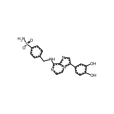 NS(=O)(=O)c1ccc(CNc2nccn3c(-c4ccc(O)c(O)c4)cnc23)cc1